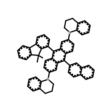 CC1(C)c2ccccc2-c2cccc(-c3c4ccc(N5CCCc6ccccc65)cc4c(-c4ccc5ccccc5c4)c4ccc(N5CCCc6ccccc65)cc34)c21